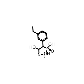 CCc1cccc(C(C(N)O)P(=O)(O)O)c1